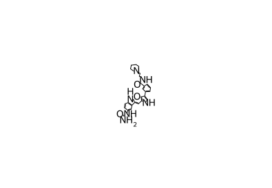 NC(=O)Nc1ccc2c(c1)C(=Cc1cc(-c3cccc(C(=O)NCCN4CCCCC4)c3)c[nH]1)C(=O)N2